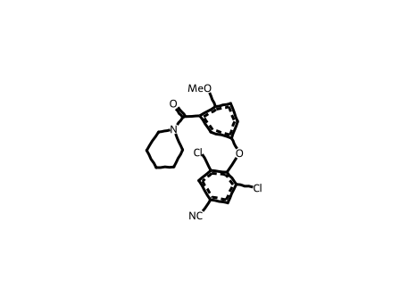 COc1ccc(Oc2c(Cl)cc(C#N)cc2Cl)cc1C(=O)N1CCCCC1